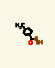 Cc1ccc(C(=O)SS)cc1